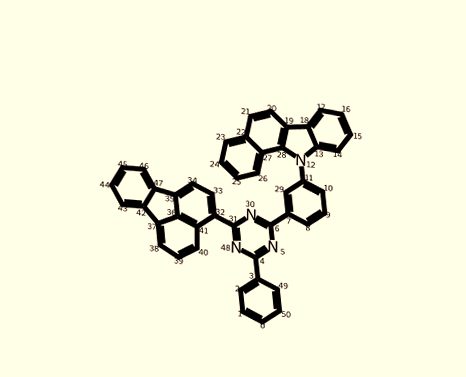 c1ccc(-c2nc(-c3cccc(-n4c5ccccc5c5ccc6ccccc6c54)c3)nc(-c3ccc4c5c(cccc35)-c3ccccc3-4)n2)cc1